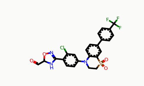 O=CC1NC(c2ccc(N3CCS(=O)(=O)c4cc(-c5ccc(C(F)(F)F)cc5)ccc43)cc2Cl)=NO1